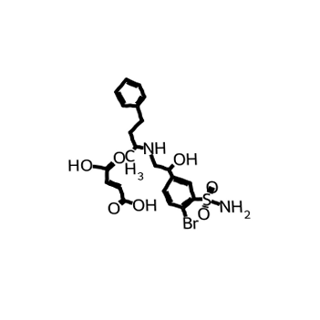 CC(CCc1ccccc1)NCC(O)c1ccc(Br)c(S(N)(=O)=O)c1.O=C(O)C=CC(=O)O